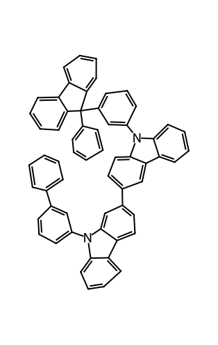 c1ccc(-c2cccc(-n3c4ccccc4c4ccc(-c5ccc6c(c5)c5ccccc5n6-c5cccc(C6(c7ccccc7)c7ccccc7-c7ccccc76)c5)cc43)c2)cc1